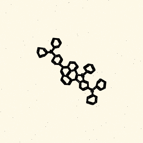 c1ccc(N(c2ccccc2)c2ccc(-c3cc4cccc5c4c4c3cccc4c3c5c4ccc(N(c5ccccc5)c5ccccc5)cc4n3-c3ccccc3)cc2)cc1